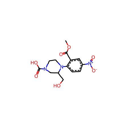 COC(=O)c1cc([N+](=O)[O-])ccc1N1CCN(C(=O)O)CC1CO